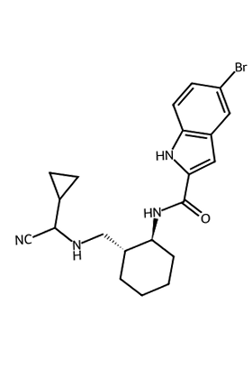 N#CC(NC[C@H]1CCCC[C@@H]1NC(=O)c1cc2cc(Br)ccc2[nH]1)C1CC1